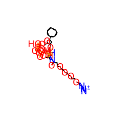 CC(C)(CNC(=O)CCOCCOCCOCCOCCN=[N+]=[N-])SSCOC1C[C@H](c2ccccccccc2)O[C@@H]1COP(=O)(O)OP(=O)(O)OP(=O)(O)O